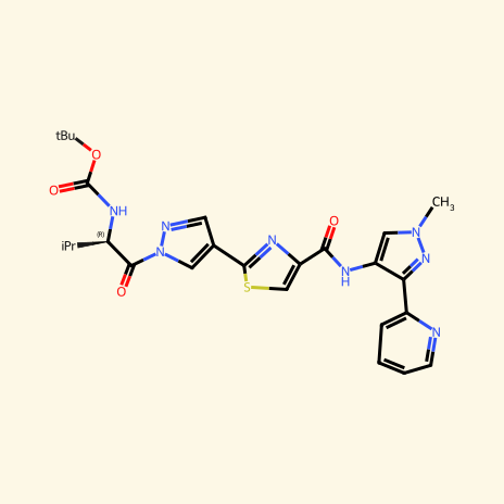 CC(C)[C@@H](NC(=O)OC(C)(C)C)C(=O)n1cc(-c2nc(C(=O)Nc3cn(C)nc3-c3ccccn3)cs2)cn1